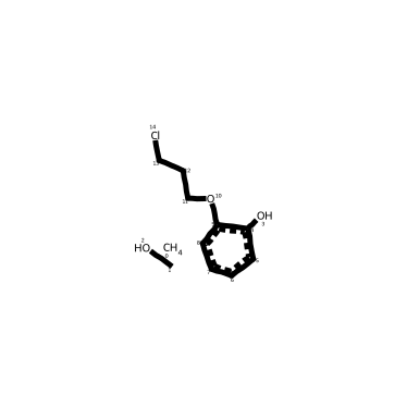 C.CO.Oc1ccccc1OCCCCl